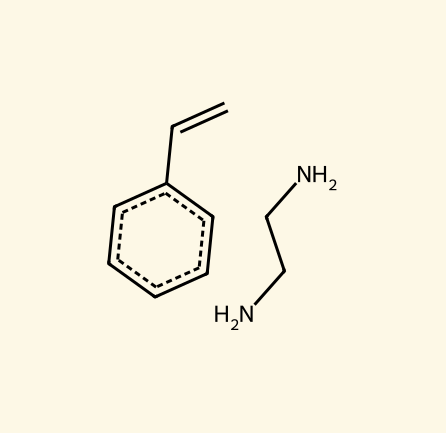 C=Cc1ccccc1.NCCN